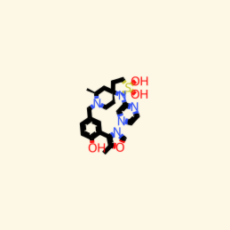 Cc1ocnc1-c1cc(CN2CC[C@]3(CCS(O)(O)N3c3cnccn3)C[C@@H]2C)ccc1O